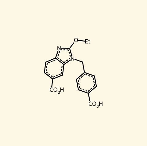 CCOc1nc2ccc(C(=O)O)cc2n1Cc1ccc(C(=O)O)cc1